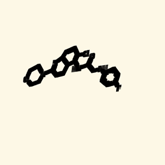 O=C(CNc1ccc(F)cc1)NC1=C(Cl)C=CC2N=C(N3CCOCC3)C=CC12